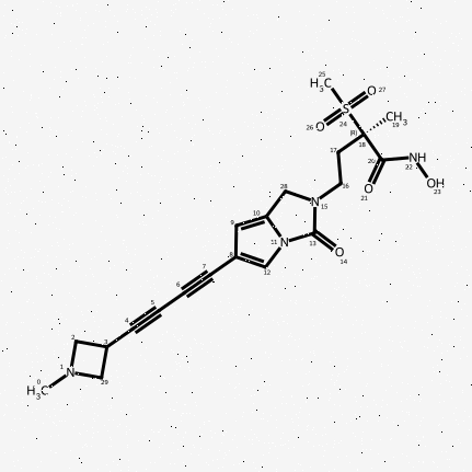 CN1CC(C#CC#Cc2cc3n(c2)C(=O)N(CC[C@](C)(C(=O)NO)S(C)(=O)=O)C3)C1